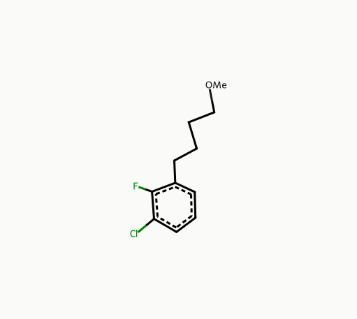 COCCCCc1cccc(Cl)c1F